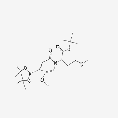 COCCC(C(=O)OC(C)(C)C)N1C=C(OC)C(B2OC(C)(C)C(C)(C)O2)CC1=O